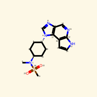 CN([C@H]1CC[C@H](n2cnc3cnc4[nH]ccc4c32)CC1)S(C)(=O)=O